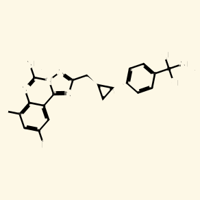 CC(C)(N)c1ccc([C@@H]2C[C@H]2Cc2nc3c4cc(F)cc(F)c4nc(N)n3n2)cc1